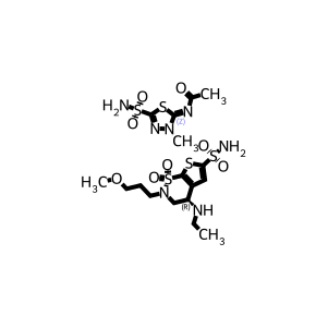 CC(=O)/N=c1\sc(S(N)(=O)=O)nn1C.CCN[C@H]1CN(CCCOC)S(=O)(=O)c2sc(S(N)(=O)=O)cc21